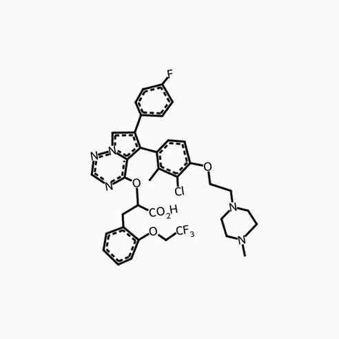 Cc1c(-c2c(-c3ccc(F)cc3)cn3ncnc(OC(Cc4ccccc4OCC(F)(F)F)C(=O)O)c23)ccc(OCCN2CCN(C)CC2)c1Cl